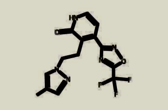 Cc1cnn(CCc2c(-c3noc(C(F)(F)F)n3)cc[nH]c2=O)c1